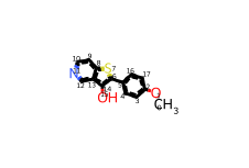 COc1ccc(-c2sc3ccncc3c2O)cc1